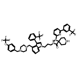 CN(c1cccc(-c2cccc(C(F)(F)F)c2)n1)C1(C(=O)NCCCn2cc(-c3ccccc3C(F)(F)F)c3c(CN4CCN(Cc5ccc(OC(F)(F)F)cc5)CC4)cccc32)CCNCC1